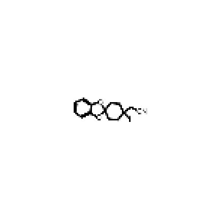 N#CCC1(I)CCC2(CC1)Oc1ccccc1O2